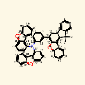 CC1(C)c2ccccc2-c2cc(-c3cccc(N(c4cccc5oc6ccccc6c45)c4cccc5oc6ccccc6c45)c3)c3oc4ccccc4c3c21